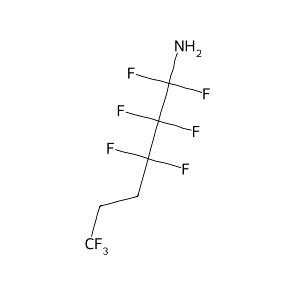 NC(F)(F)C(F)(F)C(F)(F)CCC(F)(F)F